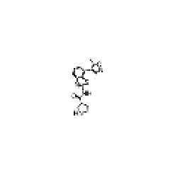 Cc1noc(C)c1-c1cccc2nc(NC(=O)[C@H]3CCNC3)sc12